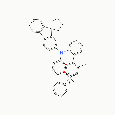 Cc1cc(C)c(-c2ccccc2N(c2ccc3c(c2)C(C)(C)c2ccccc2-3)c2ccc3c(c2)C2(CCCC2)c2ccccc2-3)c(C)c1